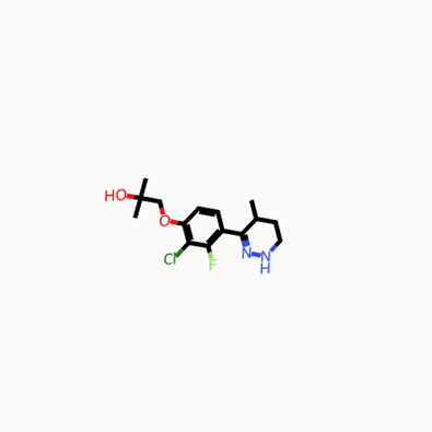 CC1CCNN=C1c1ccc(OCC(C)(C)O)c(Cl)c1F